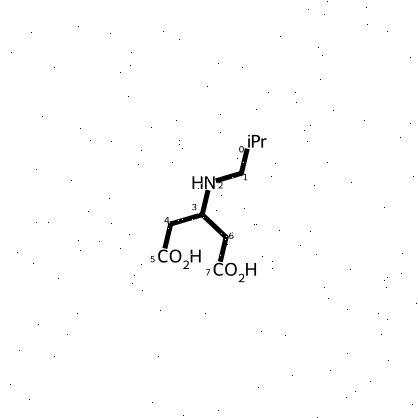 CC(C)CNC(CC(=O)O)CC(=O)O